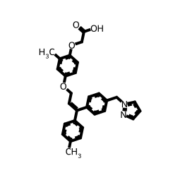 Cc1ccc(/C(=C/COc2ccc(OCC(=O)O)c(C)c2)c2ccc(Cn3cccn3)cc2)cc1